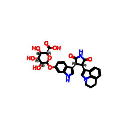 O=C(O)[C@@H]1OC(Oc2ccc3c([C@@H]4C(=O)NC(=O)[C@H]4c4cn5c6c(cccc46)CCC5)c[nH]c3c2)[C@@H](O)[C@H](O)[C@H]1O